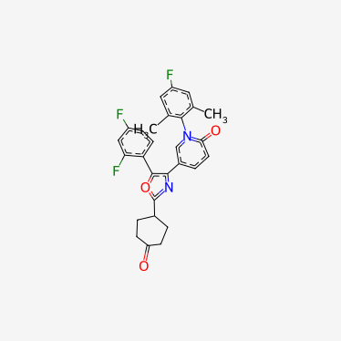 Cc1cc(F)cc(C)c1-n1cc(-c2nc(C3CCC(=O)CC3)oc2-c2ccc(F)cc2F)ccc1=O